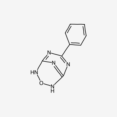 c1ccc(-c2nc3nc(n2)NON3)cc1